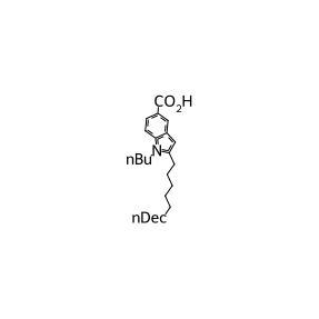 CCCCCCCCCCCCCCCc1cc2cc(C(=O)O)ccc2n1CCCC